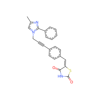 Cc1cn(CC#Cc2ccc(C=C3SC(=O)NC3=O)cc2)c(-c2ccccc2)n1